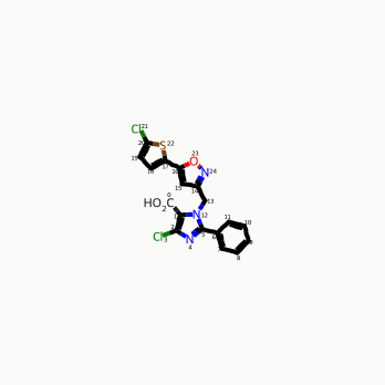 O=C(O)c1c(Cl)nc(-c2ccccc2)n1Cc1cc(-c2ccc(Cl)s2)on1